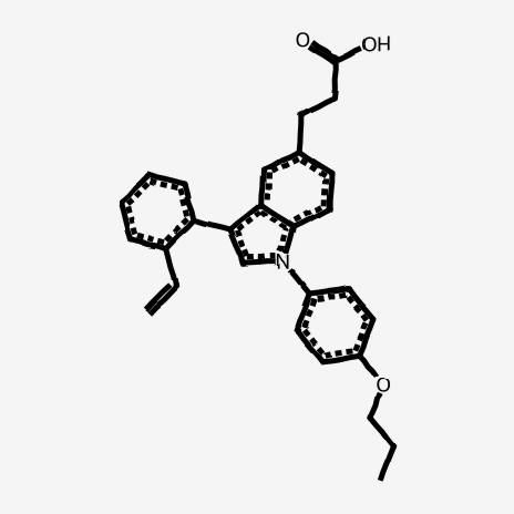 C=Cc1ccccc1-c1cn(-c2ccc(OCCC)cc2)c2ccc(CCC(=O)O)cc12